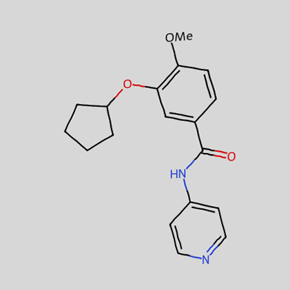 COc1ccc(C(=O)Nc2ccncc2)cc1OC1CCCC1